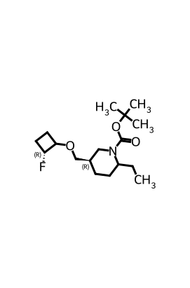 CCC1CC[C@@H](COC2CC[C@H]2F)CN1C(=O)OC(C)(C)C